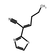 CCCC=C(C#N)c1nccs1